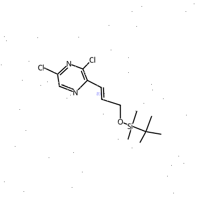 CC(C)(C)[Si](C)(C)OC/C=C/c1ncc(Cl)nc1Cl